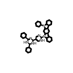 C1=NC(n2c3ccccc3c3cc4c5ccccc5n(-c5ccccc5)c4cc32)NC=C1C1N=C(c2ccccc2)NC(c2ccccc2)N1